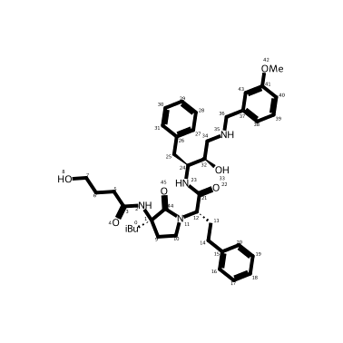 CCC(C)[C@@]1(NC(=O)CCCO)CCN([C@@H](CCc2ccccc2)C(=O)N[C@@H](Cc2ccccc2)[C@H](O)CNCc2cccc(OC)c2)C1=O